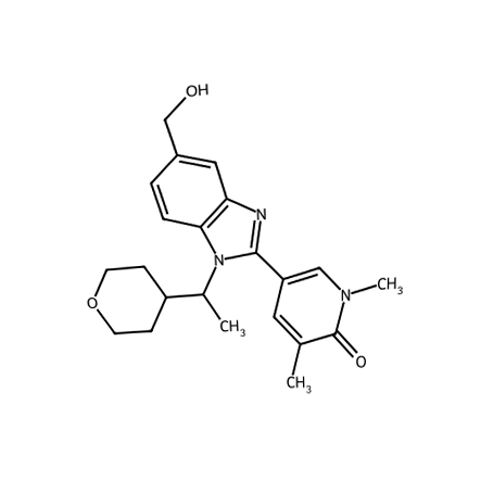 Cc1cc(-c2nc3cc(CO)ccc3n2C(C)C2CCOCC2)cn(C)c1=O